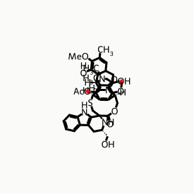 COC1=C(O)C2C(C=C1C)CC1(O)CN(C)[C@@H]2[C@@H]2[C@@H]3SC[C@]4(N[C@H](CO)Cc5c4[nH]c4ccccc54)C(=O)OC[C@@H](c4c5c(c(C)c(OC(C)=O)c43)OCO5)N21